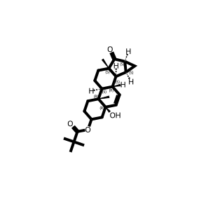 CC(C)(C)C(=O)OC1CC[C@]2(C)[C@H]3CC[C@]4(C)C(=O)[C@H]5C[C@H]5[C@H]4[C@@H]3C=C[C@]2(O)C1